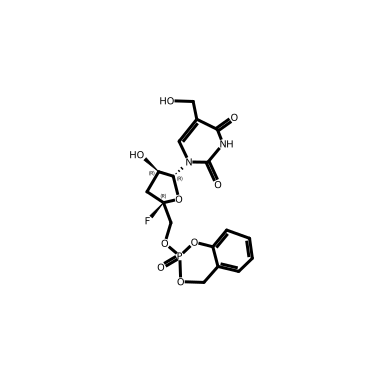 O=c1[nH]c(=O)n([C@@H]2O[C@](F)(COP3(=O)OCc4ccccc4O3)C[C@H]2O)cc1CO